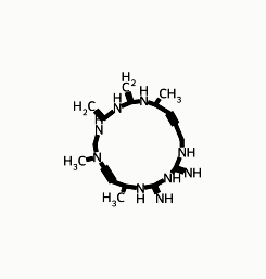 C=C1NCN(C)C#CC(C)NC(=N)NC(=N)NCC#CC(C)NC(=C)N1